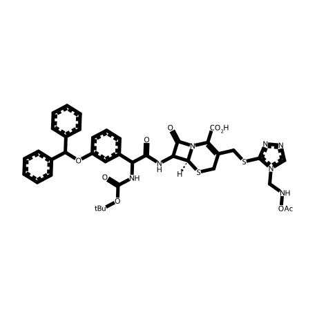 CC(=O)ONCn1cnnc1SCC1=C(C(=O)O)N2C(=O)C(NC(=O)C(NC(=O)OC(C)(C)C)c3cccc(OC(c4ccccc4)c4ccccc4)c3)[C@@H]2SC1